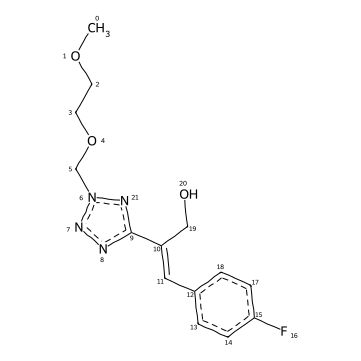 COCCOCn1nnc(C(=Cc2ccc(F)cc2)CO)n1